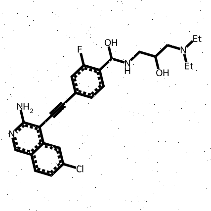 CCN(CC)CC(O)CNC(O)c1ccc(C#Cc2c(N)ncc3ccc(Cl)cc23)cc1F